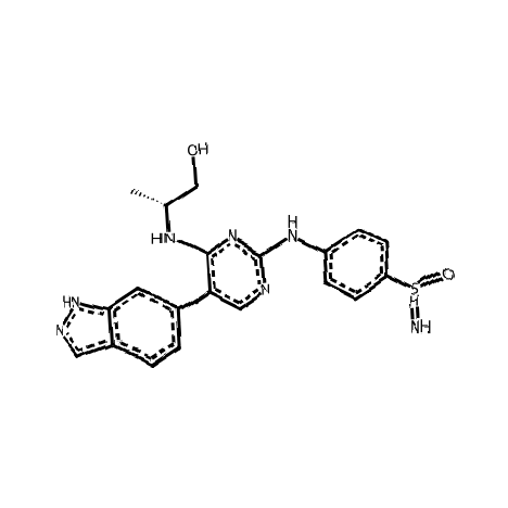 C[C@H](CO)Nc1nc(Nc2ccc([SH](=N)=O)cc2)ncc1-c1ccc2cn[nH]c2c1